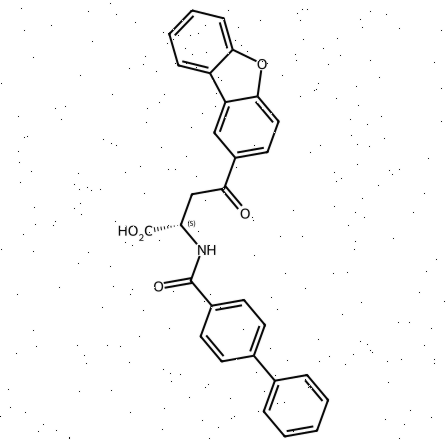 O=C(C[C@H](NC(=O)c1ccc(-c2ccccc2)cc1)C(=O)O)c1ccc2oc3ccccc3c2c1